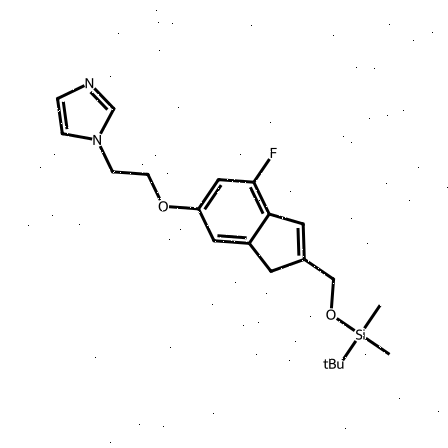 CC(C)(C)[Si](C)(C)OCC1=Cc2c(F)cc(OCCn3ccnc3)cc2C1